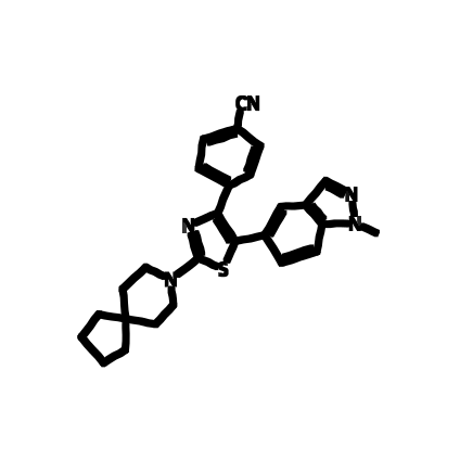 Cn1ncc2cc(-c3sc(N4CCC5(CCCC5)CC4)nc3-c3ccc(C#N)cc3)ccc21